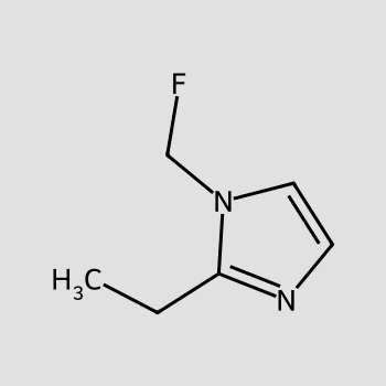 CCc1nccn1CF